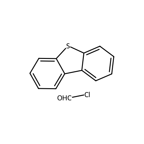 O=CCl.c1ccc2c(c1)sc1ccccc12